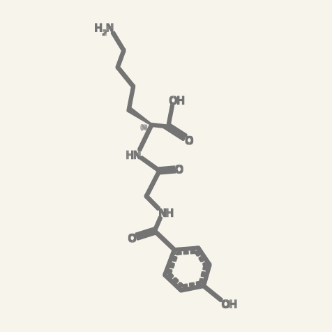 NCCCC[C@H](NC(=O)CNC(=O)c1ccc(O)cc1)C(=O)O